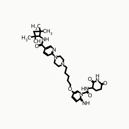 CC1(C)CC(C)(C)C1NC(=O)c1ccc(N2CCN(CCCCCOc3ccc(=N)n(C(=O)NC4CCC(=O)NC4=O)c3)CC2)nc1